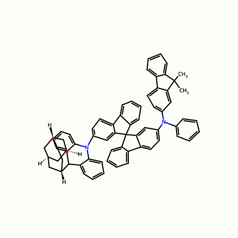 CC1(C)c2ccccc2-c2ccc(N(c3ccccc3)c3ccc4c(c3)C3(c5ccccc5-4)c4ccccc4-c4ccc(N(c5ccccc5)c5ccccc5C5[C@H]6C[C@@H]7C[C@@H](C[C@H]5C7)C6)cc43)cc21